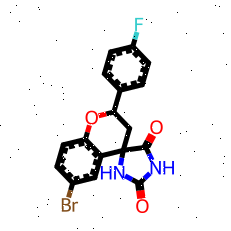 O=C1NC(=O)C2(CC(c3ccc(F)cc3)Oc3ccc(Br)cc32)N1